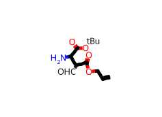 C=CCOC(=O)C(C=O)C(N)C(=O)OC(C)(C)C